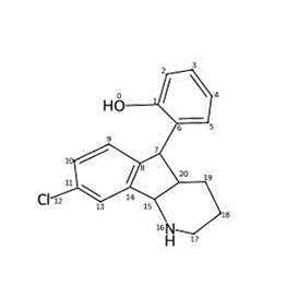 Oc1ccccc1C1c2ccc(Cl)cc2C2NCCCC21